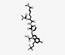 CN(C)C(=O)C=CCCC(OC(=O)N(C)C)C(=O)Nc1nccn(Cc2cc3cc(F)cc(CCC(F)(F)F)c3n2C(=O)O)c1=O